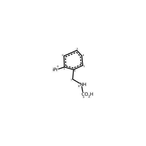 CC(C)c1ccccc1CNC(=O)O